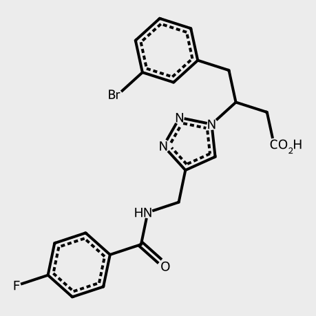 O=C(O)CC(Cc1cccc(Br)c1)n1cc(CNC(=O)c2ccc(F)cc2)nn1